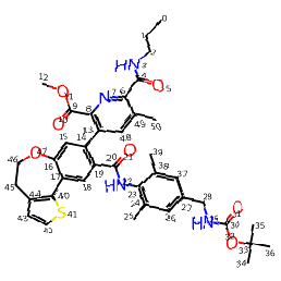 CCCNC(=O)c1nc(C(=O)OC)c(-c2cc3c(cc2C(=O)Nc2c(C)cc(CNC(=O)OC(C)(C)C)cc2C)-c2sccc2CCO3)cc1C